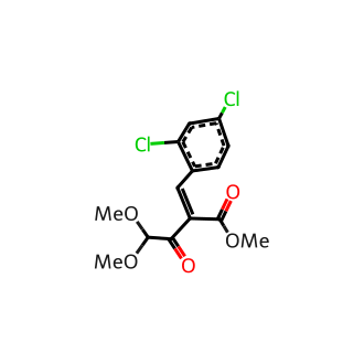 COC(=O)/C(=C\c1ccc(Cl)cc1Cl)C(=O)C(OC)OC